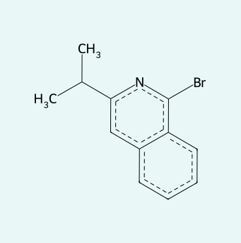 CC(C)c1cc2ccccc2c(Br)n1